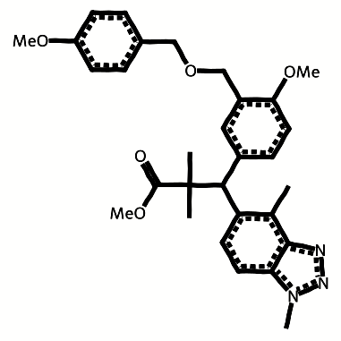 COC(=O)C(C)(C)C(c1ccc(OC)c(COCc2ccc(OC)cc2)c1)c1ccc2c(nnn2C)c1C